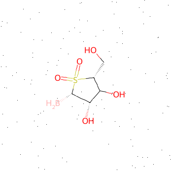 B[C@H]1[C@@H](O)C(O)[C@@H](CO)S1(=O)=O